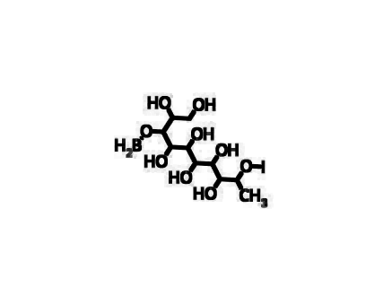 BOC(C(O)CO)C(O)C(O)C(O)C(O)C(O)C(C)OI